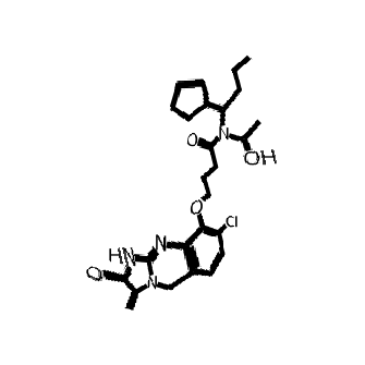 C=c1c(=O)[nH]c2n1Cc1ccc(Cl)c(OCCCC(=O)N(C(C)O)C(CCC)C3CCCC3)c1N=2